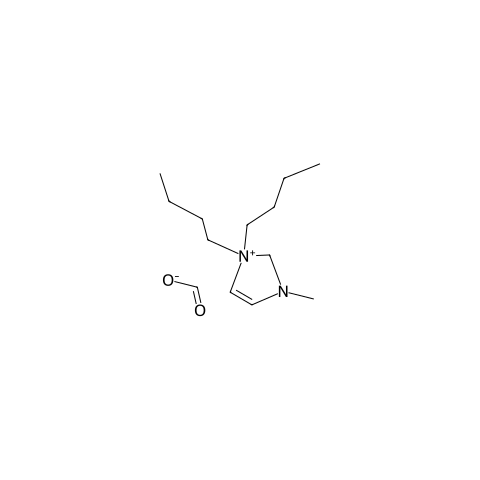 CCCC[N+]1(CCCC)C=CN(C)C1.O=C[O-]